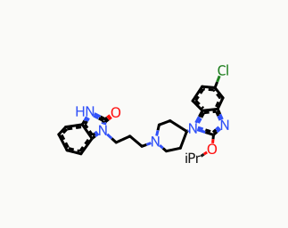 CC(C)Oc1nc2cc(Cl)ccc2n1C1CCN(CCCn2c(=O)[nH]c3ccccc32)CC1